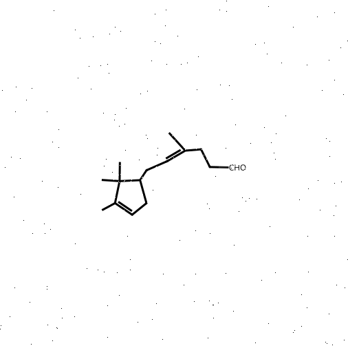 CC1=CCC(C/C=C(\C)CCC=O)C1(C)C